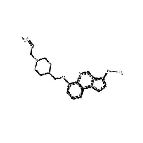 C=CCN1CCC(COc2cccc3c2ncc2c(OC)ccn23)CC1